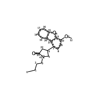 CCCCN1CC(c2ccc(OC)c3oc4ccccc4c23)CC1=O